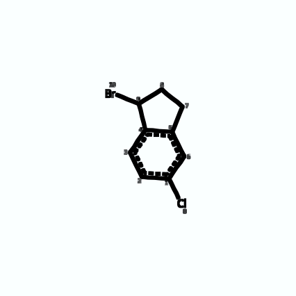 Clc1ccc2c(c1)CCC2Br